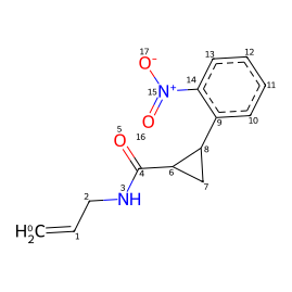 C=CCNC(=O)C1CC1c1ccccc1[N+](=O)[O-]